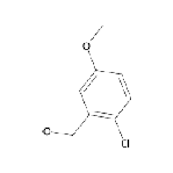 COc1ccc(Cl)c(C[O])c1